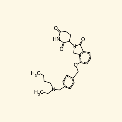 CCCCN(CC)Cc1ccc(COc2cccc3c2CN(C2CCC(=O)NC2=O)C3=O)cc1